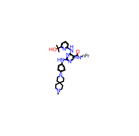 CCCNC(=O)c1cnc(Nc2ccc(N3CCC4(CCN(C)CC4)CC3)cc2)nc1Nc1cccc(C(C)(C)O)n1